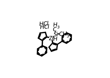 C[SiH](C)[Zr]([C]1=C(c2ccccc2)C=CC1)[C]1=C(c2ccccc2)C=CC1.Cl.Cl